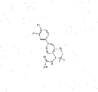 CC1(C)COc2cc(-c3ccc(Cl)c(Cl)c3)ccc2C1NC(=O)O